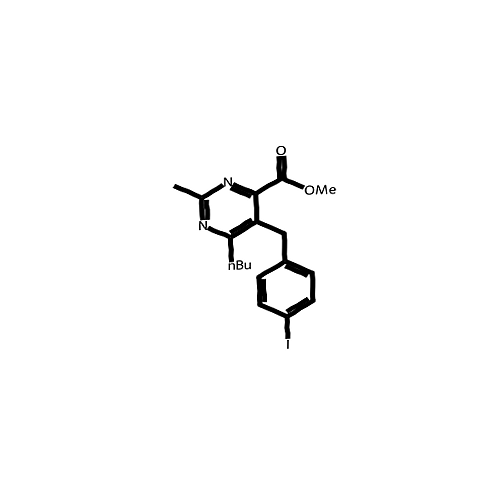 CCCCc1nc(C)nc(C(=O)OC)c1Cc1ccc(I)cc1